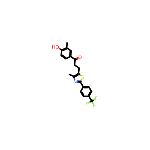 Cc1cc(C(=O)CCc2sc(-c3ccc(C(F)(F)F)cc3)nc2C)ccc1O